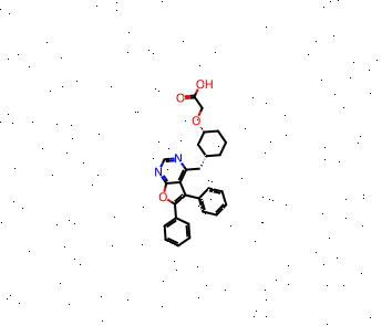 O=C(O)CO[C@@H]1CCC[C@H](Cc2ncnc3oc(-c4ccccc4)c(-c4ccccc4)c23)C1